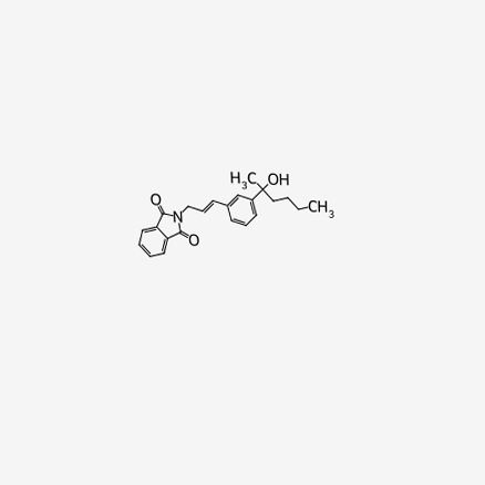 CCCCC(C)(O)c1cccc(C=CCN2C(=O)c3ccccc3C2=O)c1